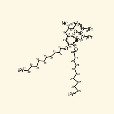 CCCC(OP(N(C(C)C)C(C)C)N(C(C)C)C(C)C)C(C#N)Cc1ccc(OCCCCCCCCCCC(C)C)c(OCCCCCCCCCCC(C)C)c1